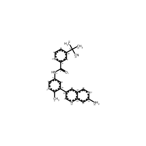 Cc1ncc(NC(=O)c2cc(C(C)(C)C#N)ccn2)cc1-c1cnc2cc(N)ncc2c1